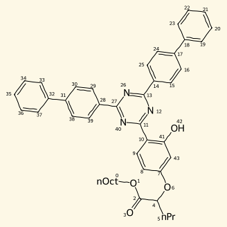 CCCCCCCCOC(=O)C(CCC)Oc1ccc(-c2nc(-c3ccc(-c4ccccc4)cc3)nc(-c3ccc(-c4ccccc4)cc3)n2)c(O)c1